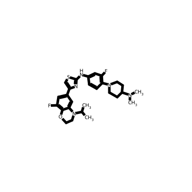 CC(C)N1CCOc2c(F)cc(-c3csc(Nc4ccc(N5CCC(N(C)C)CC5)c(F)c4)n3)cc21